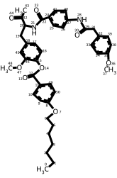 CCCCCCCOc1ccc(C(=O)Oc2ccc(CC(NC(=O)c3ccc(NC(=O)Cc4ccc(OC)cc4)cc3)C(C)=O)cc2OC)cc1